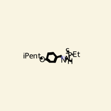 CCCC(C)Oc1ccc(/C=N/N(C)[PH](=S)CC)cc1